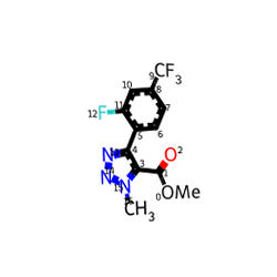 COC(=O)c1c(-c2ccc(C(F)(F)F)cc2F)nnn1C